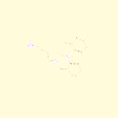 CNCCCCN1Cc2cc(Cl)ccc2N(c2c(F)cc(F)cc2F)S1(=O)=O